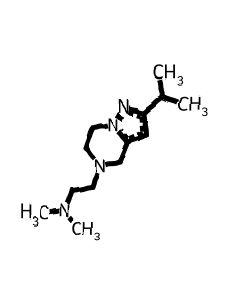 CC(C)c1cc2n(n1)CCN(CCN(C)C)C2